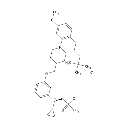 COc1ccc(CCCC(C)(C)C)c(N2CCC(COc3cccc([C@@H](CP(C)(=O)[O-])C4CC4)c3)CC2)c1.[K+]